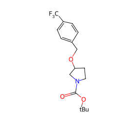 CC(C)(C)OC(=O)N1CCC(OCc2ccc(C(F)(F)F)cc2)C1